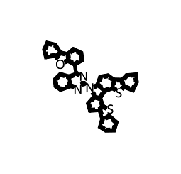 c1ccc2c(-c3cccc4c3oc3ccccc34)nc(-n3c4ccc5c6ccccc6sc5c4c4c5sc6ccccc6c5ccc43)nc2c1